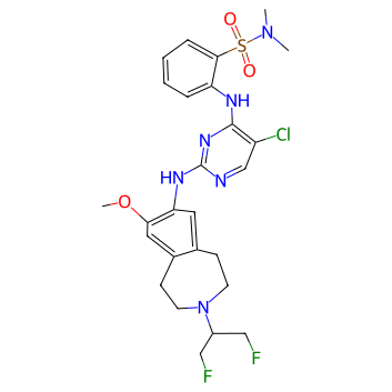 COc1cc2c(cc1Nc1ncc(Cl)c(Nc3ccccc3S(=O)(=O)N(C)C)n1)CCN(C(CF)CF)CC2